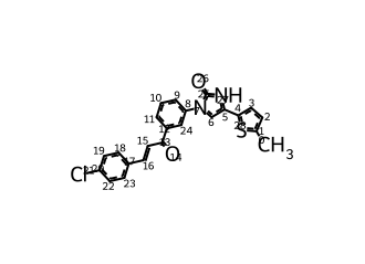 Cc1ccc(-c2cn(-c3cccc(C(=O)C=Cc4ccc(Cl)cc4)c3)c(=O)[nH]2)s1